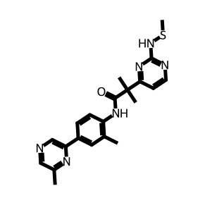 CSNc1nccc(C(C)(C)C(=O)Nc2ccc(-c3cncc(C)n3)cc2C)n1